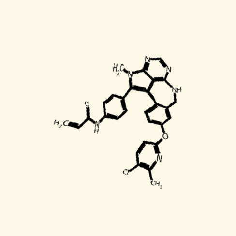 C=CC(=O)Nc1ccc(-c2c3c4c(ncnc4n2C)NCc2cc(Oc4ccc(Cl)c(C)n4)ccc2-3)cc1